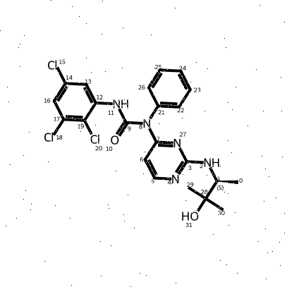 C[C@H](Nc1nccc(N(C(=O)Nc2cc(Cl)cc(Cl)c2Cl)c2ccccc2)n1)C(C)(C)O